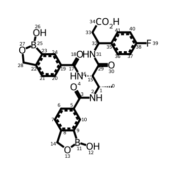 C[C@H](NC(=O)c1ccc2c(c1)B(O)OC2)[C@H](NC(=O)c1ccc2c(c1)B(O)OC2)C(=O)NC(CC(=O)O)c1ccc(F)cc1